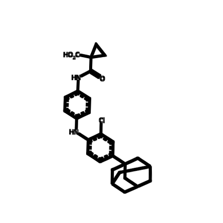 O=C(O)C1(C(=O)Nc2ccc(Nc3ccc(C45CC6CC(CC(C6)C4)C5)cc3Cl)cc2)CC1